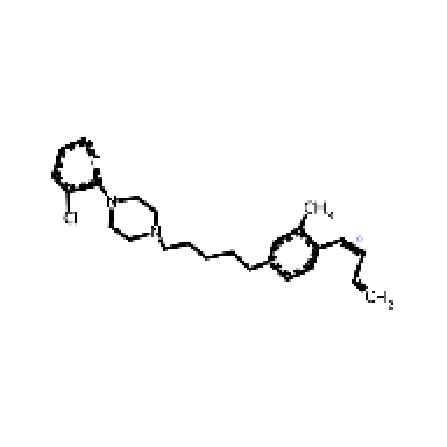 C=C/C=C\c1ccc(CCCCCN2CCN(c3ccccc3Cl)CC2)cc1C